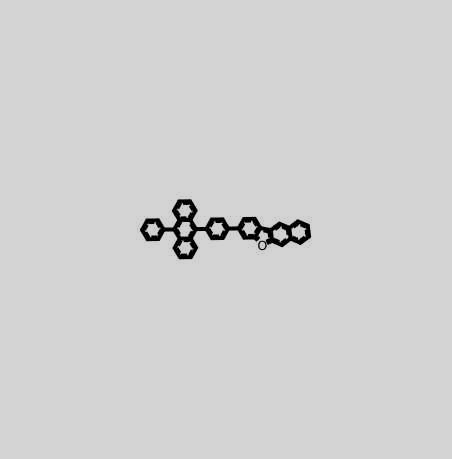 c1ccc(-c2c3ccccc3c(-c3ccc(-c4ccc5c(c4)oc4cc6ccccc6cc45)cc3)c3ccccc23)cc1